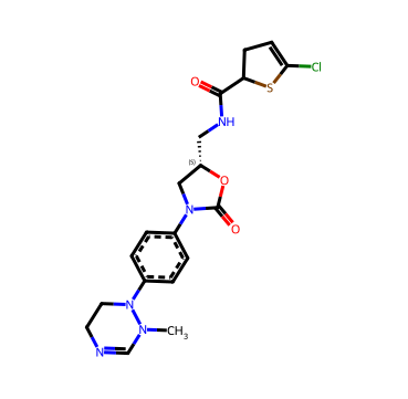 CN1C=NCCN1c1ccc(N2C[C@H](CNC(=O)C3CC=C(Cl)S3)OC2=O)cc1